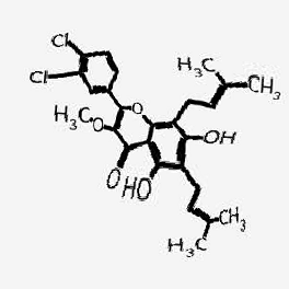 COc1c(-c2ccc(Cl)c(Cl)c2)oc2c(CC=C(C)C)c(O)c(CC=C(C)C)c(O)c2c1=O